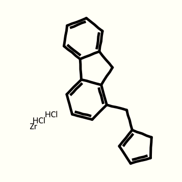 C1=CCC(Cc2cccc3c2Cc2ccccc2-3)=C1.Cl.Cl.[Zr]